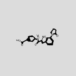 N[C@@H](Cc1cccc(N2CCCC2=O)c1)C(=O)Nc1ccc(C(=O)O)cc1